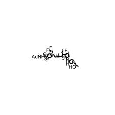 CC(=O)NS(=O)(=O)c1cc(OC(F)F)c(NCC#Cc2sc3c(NC4CCN(CC(C)O)CC4)cccc3c2CC(F)(F)F)cc1F